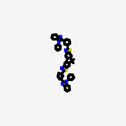 CC1(C)c2cc3sc(-c4cccc(-c5nc6ccccc6n5-c5ccccc5)c4)nc3cc2-c2cc3nc(-c4cccc(-c5nc6ccccc6n5-c5ccccc5)c4)sc3cc21